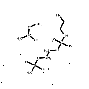 CCC[Si](C)(NCCN)O[SiH2][SiH2]O[Si](C)(CC)C(=O)O.C[SiH](C)O[SiH3]